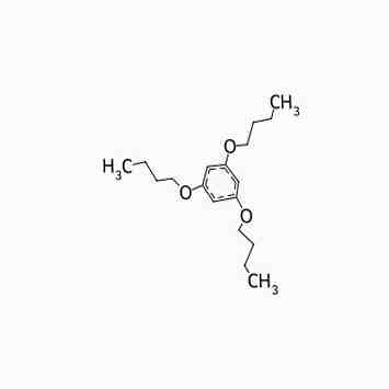 CCCCOc1cc(OCCCC)cc(OCCCC)c1